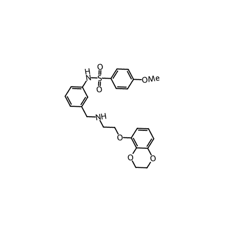 COc1ccc(S(=O)(=O)Nc2cccc(CNCCOc3cccc4c3OCCO4)c2)cc1